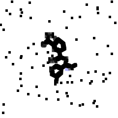 C/N=C(\SC(=N)c1cccc(C(N)=O)n1)c1cncc(F)c1